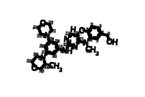 Cc1ccc(CO)cc1N(C)c1ccnc(Nc2cc(N3CCOCC3)cc(N3CCOC[C@@H]3C)c2)n1